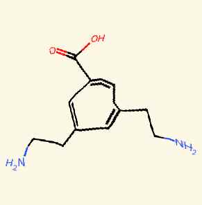 NCCc1cc(CCN)cc(C(=O)O)c1